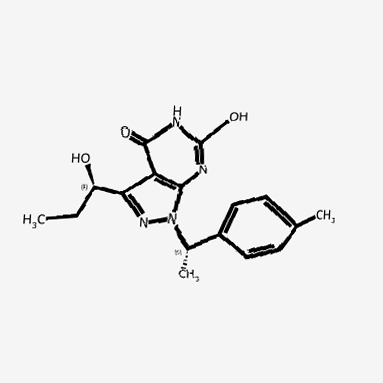 CC[C@@H](O)c1nn([C@@H](C)c2ccc(C)cc2)c2nc(O)[nH]c(=O)c12